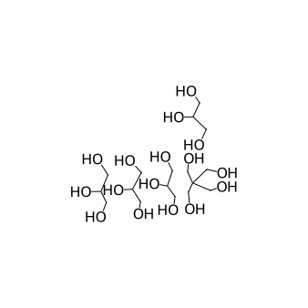 OCC(CO)(CO)CO.OCC(O)CO.OCC(O)CO.OCC(O)CO.OCC(O)CO